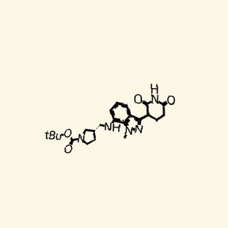 Cn1nc(C2CCC(=O)NC2=O)c2cccc(NC[C@@H]3CCN(C(=O)OC(C)(C)C)C3)c21